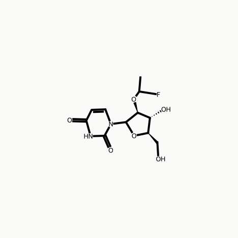 CC(F)O[C@@H]1C(n2ccc(=O)[nH]c2=O)O[C@H](CO)[C@H]1O